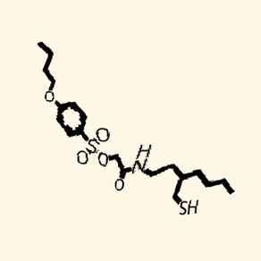 CCCCOc1ccc(S(=O)(=O)OCC(=O)NCCC(CS)CCCC)cc1